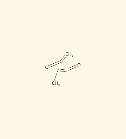 C=C=O.CC=C=O